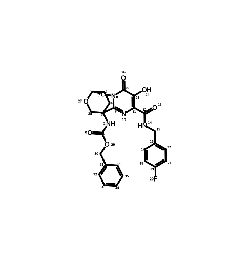 O=C(NC12CCC(Cn3c1nc(C(=O)NCc1ccc(F)cc1)c(O)c3=O)OC2)OCc1ccccc1